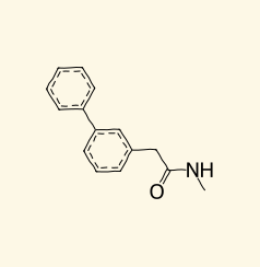 CNC(=O)Cc1cccc(-c2ccccc2)c1